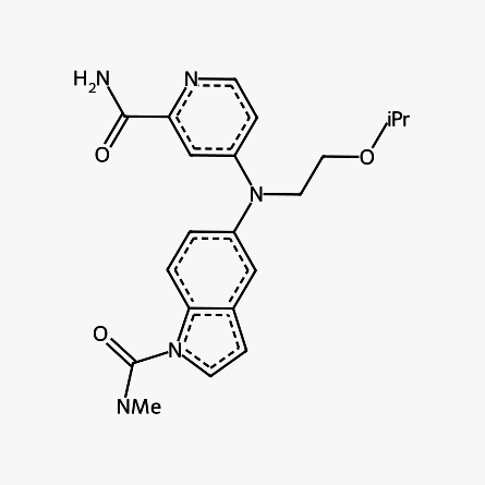 CNC(=O)n1ccc2cc(N(CCOC(C)C)c3ccnc(C(N)=O)c3)ccc21